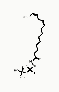 CCCCC/C=C\C/C=C\CCCCCCCC(=O)NPC(C)(C)OP(C)(=O)O